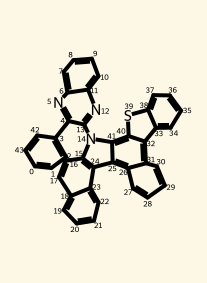 c1ccc(-c2nc3ccccc3nc2-n2c3ccc4ccccc4c3c3c4ccccc4c4c5ccccc5sc4c32)cc1